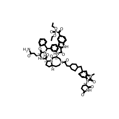 CCOP(=O)(OCC)C(=O)c1ccc2[nH]c(C(=O)N[C@H]3CN(C(=O)CC4CCC(Cc5ccc6c(c5)n(C)c(=O)n6[C@@H]5CCC(=O)NC5=O)CC4)CC[C@H]4CC[C@@H](C(=O)N[C@@H](CCC(N)=O)C(=O)NC(c5ccccc5)c5ccccc5)N4C3=O)cc2c1